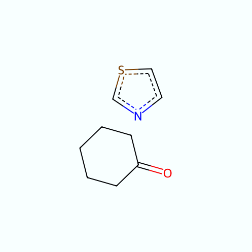 O=C1CCCCC1.c1cscn1